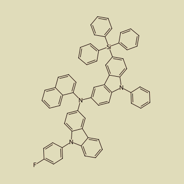 Fc1ccc(-n2c3ccccc3c3cc(N(c4ccc5c(c4)c4cc([Si](c6ccccc6)(c6ccccc6)c6ccccc6)ccc4n5-c4ccccc4)c4cccc5ccccc45)ccc32)cc1